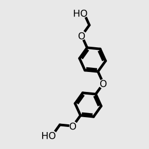 OCOc1ccc(Oc2ccc(OCO)cc2)cc1